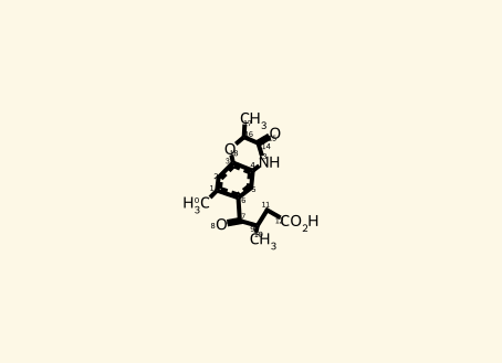 Cc1cc2c(cc1C(=O)C(C)CC(=O)O)NC(=O)C(C)O2